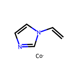 C=Cn1ccnc1.[Co]